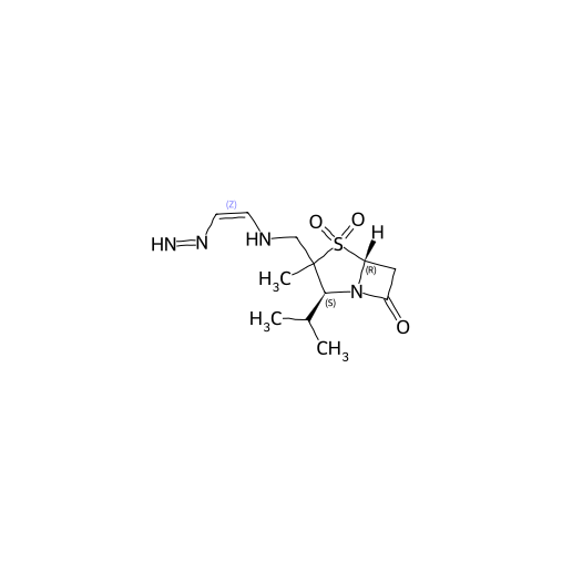 CC(C)[C@@H]1N2C(=O)C[C@H]2S(=O)(=O)C1(C)CN/C=C\N=N